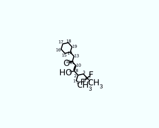 CCC(CC(C)(F)F)/C(O)=C/C(=O)CC1CCCCC1